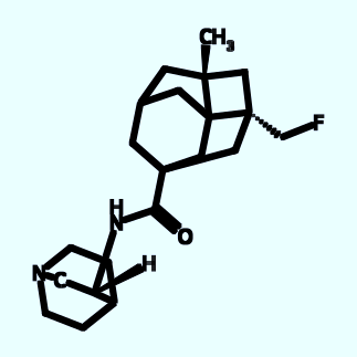 C[C@]12CC3CC4(C(=O)N[C@H]5CN6CCC5CC6)CC1(C3)[C@](CF)(C4)C2